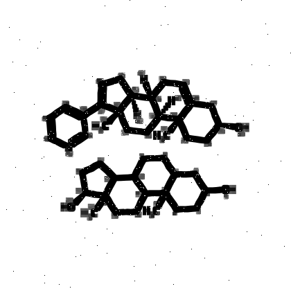 CC12CCC(O)CC1CCC1C2CCC2(C)C1CC[C@@H]2O.C[C@]12CC[C@H](O)CC1=CC[C@@H]1[C@@H]2CC[C@]2(C)C(c3cccnc3)=CC[C@@H]12